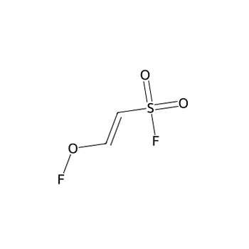 O=S(=O)(F)C=COF